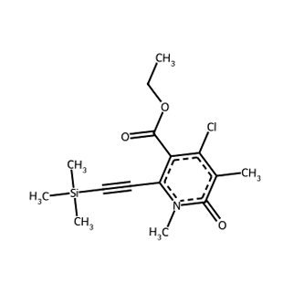 CCOC(=O)c1c(Cl)c(C)c(=O)n(C)c1C#C[Si](C)(C)C